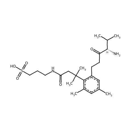 Cc1cc(C)c(C(C)(C)CC(=O)NCCCS(=O)(=O)O)c(CCC(=O)[C@@H](N)C(C)C)c1